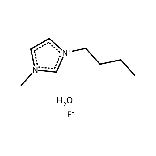 CCCC[n+]1ccn(C)c1.O.[F-]